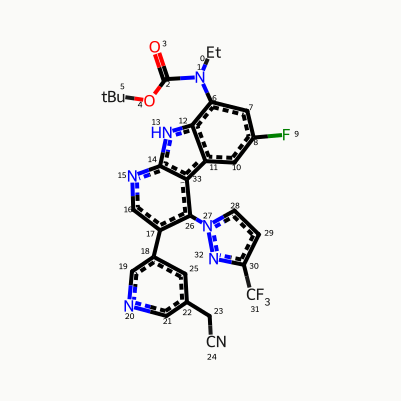 CCN(C(=O)OC(C)(C)C)c1cc(F)cc2c1[nH]c1ncc(-c3cncc(CC#N)c3)c(-n3ccc(C(F)(F)F)n3)c12